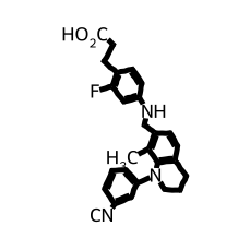 [C-]#[N+]c1cccc(N2CCCc3ccc(CNc4ccc(CCC(=O)O)c(F)c4)c(C)c32)c1